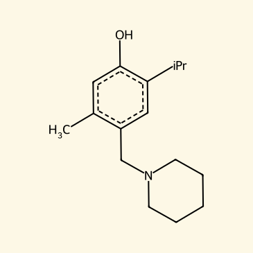 Cc1cc(O)c(C(C)C)cc1CN1CCCCC1